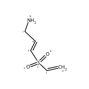 C=CS(=O)(=O)C=CCN